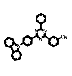 N#Cc1cccc(-c2nc(-c3ccccc3)nc(-c3ccc(-n4c5ccccc5c5ccccc54)cc3)n2)c1